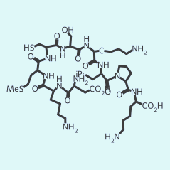 CSCCC(NC(=O)C(CCCCN)NC(=O)C(N)CC(=O)O)C(=O)NC(CS)C(=O)NC(CO)C(=O)NC(CCCCN)C(=O)NC(CC(C)C)C(=O)N1CCCC1C(=O)NC(CCCCN)C(=O)O